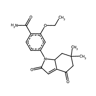 CCOc1cc(N2C(=O)C=C3C(=O)CC(C)(C)CC32)ccc1C(N)=O